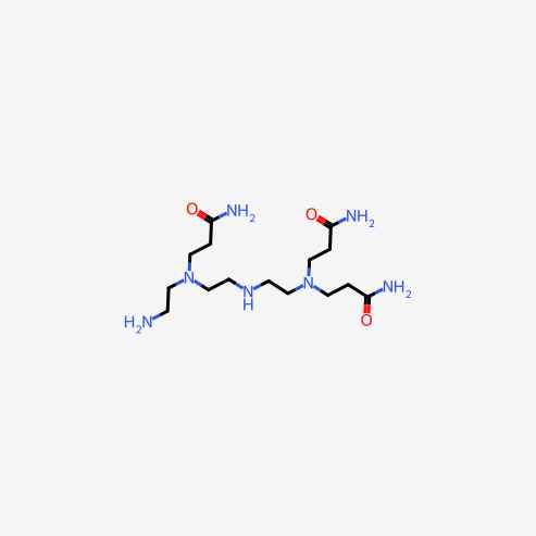 NCCN(CCNCCN(CCC(N)=O)CCC(N)=O)CCC(N)=O